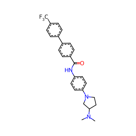 CN(C)C1CCN(c2ccc(NC(=O)c3ccc(-c4ccc(C(F)(F)F)cc4)cc3)cc2)C1